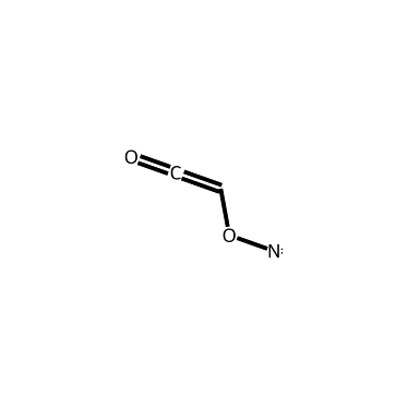 [N]OC=C=O